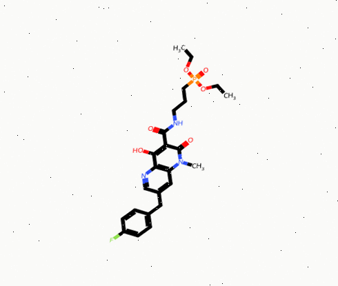 CCOP(=O)(CCCNC(=O)c1c(O)c2ncc(Cc3ccc(F)cc3)cc2n(C)c1=O)OCC